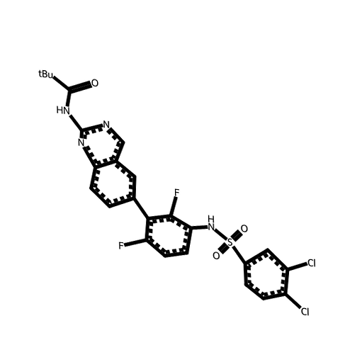 CC(C)(C)C(=O)Nc1ncc2cc(-c3c(F)ccc(NS(=O)(=O)c4ccc(Cl)c(Cl)c4)c3F)ccc2n1